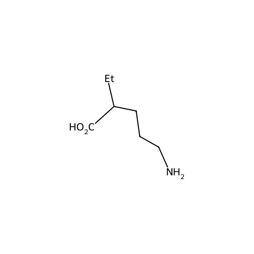 CCC(CCCN)C(=O)O